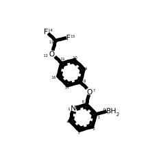 Bc1cccnc1Oc1ccc(OC(F)F)cc1